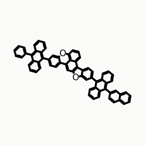 c1ccc(-c2c3ccccc3c(-c3ccc4c(c3)Oc3cccc5c3c-4cc3oc4cc(-c6c7ccccc7c(-c7ccc8ccccc8c7)c7ccccc67)ccc4c35)c3ccccc23)cc1